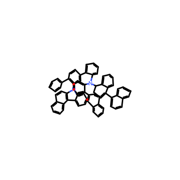 C1=C(c2cccc3ccccc23)c2ccccc2C(N(c2ccccc2-c2ccc(-c3ccccc3)c(-n3c4ccccc4c4c5ccccc5ccc43)c2)c2ccccc2-c2ccc3ccccc3c2)C1